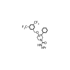 CCCNC(=O)N1CC[C@@H](OCc2cc(C(F)(F)F)cc(C(F)(F)F)c2)[C@@H](c2ccccc2)C1